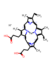 C=CC1=C(C)C2=NC/1=C\c1c(C)c(C=C)c3[n]1[Fe][n]1/c(c(C)c(CCC(=O)O)/c1=C/C1=NC(=C\3)/C(C)=C1CCC(=O)O)=C\2.[H+]